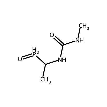 CNC(=O)NC(C)[PH2]=O